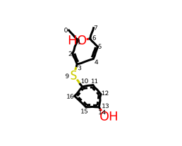 CC/C=C(\C=C/C(C)O)Sc1ccc(O)cc1